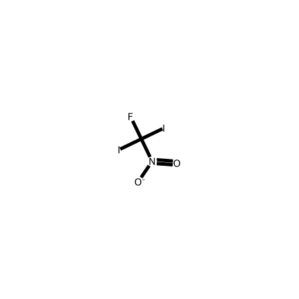 O=[N+]([O-])C(F)(I)I